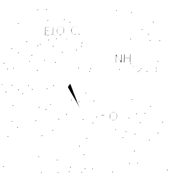 CCOC(=O)C(N)C[C@@H]1CCCO1